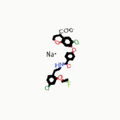 O=C(NCCc1ccc(Cl)cc1OCCF)c1ccc(Oc2cc3c(cc2Cl)C(C(=O)[O-])CCO3)cc1.[Na+]